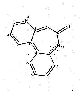 O=c1cc2ncccc2c2ccccc2n1